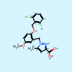 COc1ccc(OCc2c(F)cccc2F)c(Cn2nc(C(=O)O)cc2C)c1